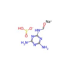 Nc1nc(N)nc(NC=O)n1.O=S([O-])O.[Na+]